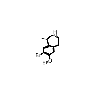 CCOc1cc2c(cc1Br)[C@@H](C)CNCC2